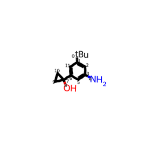 CC(C)(C)c1cc(N)cc(C2(O)CC2)c1